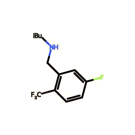 CCC(C)NCc1cc(F)ccc1C(F)(F)F